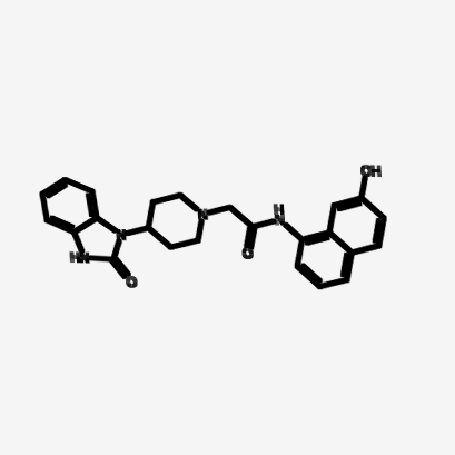 O=C(CN1CCC(n2c(=O)[nH]c3ccccc32)CC1)Nc1cccc2ccc(O)cc12